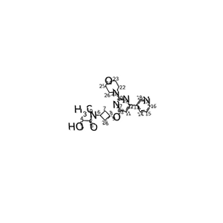 CN(C(=O)CO)[C@H]1C[C@H](Oc2cc(-c3cccnc3)nc(N3CCOCC3)n2)C1